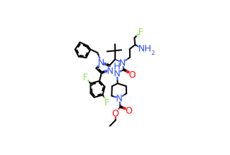 CCOC(=O)N1CCC(NC(=O)N(CCC(N)CF)[C@@H](c2nc(-c3cc(F)ccc3F)cn2Cc2ccccc2)C(C)(C)C)CC1